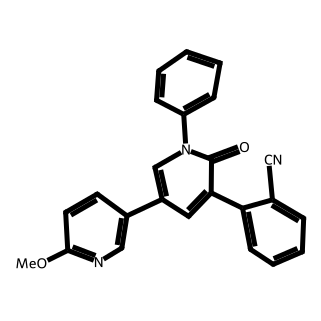 COc1ccc(-c2cc(-c3ccccc3C#N)c(=O)n(-c3ccccc3)c2)cn1